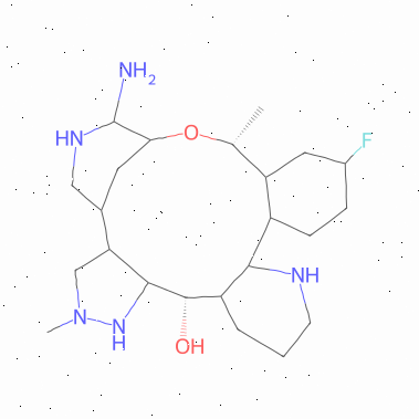 C[C@H]1OC2CC(CNC2N)C2CN(C)NC2[C@@H](O)C2CCCNC2C2CCC(F)CC21